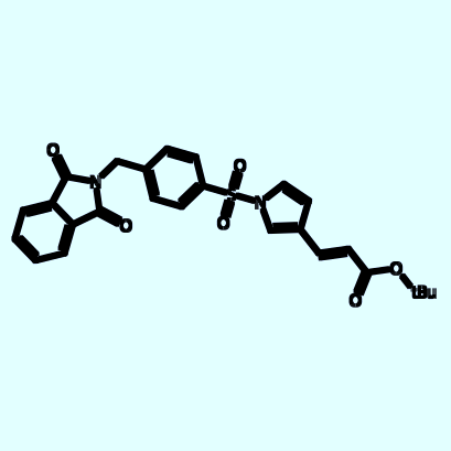 CC(C)(C)OC(=O)/C=C/c1ccn(S(=O)(=O)c2ccc(CN3C(=O)c4ccccc4C3=O)cc2)c1